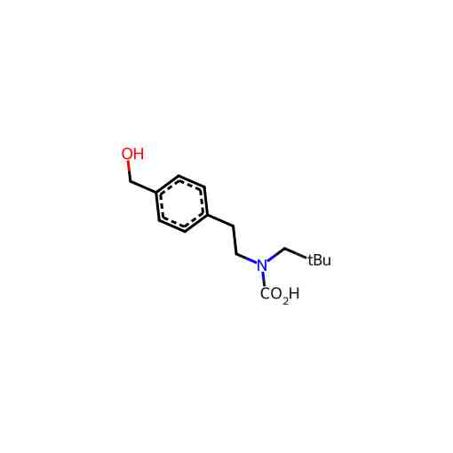 CC(C)(C)CN(CCc1ccc(CO)cc1)C(=O)O